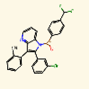 N#Cc1ccccc1-c1c(-c2cccc(Br)c2)n([S+]([O-])c2ccc(C(F)F)cc2)c2cccnc12